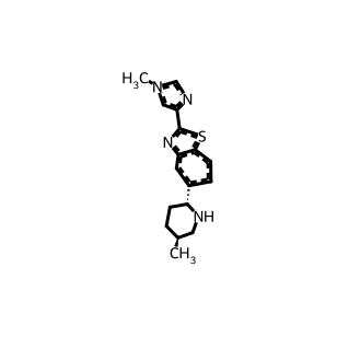 C[C@H]1CC[C@H](c2ccc3sc(-c4cn(C)cn4)nc3c2)NC1